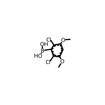 COc1cc(OC)c(Cl)c(B(O)O)c1Cl